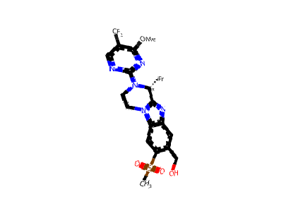 COc1nc(N2CCn3c(nc4cc(CO)c(S(C)(=O)=O)cc43)[C@H]2C(C)C)ncc1C(F)(F)F